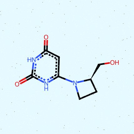 O=c1cc(N2CC[C@@H]2CO)[nH]c(=O)[nH]1